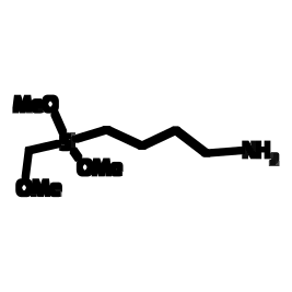 COC[Si](CCCCN)(OC)OC